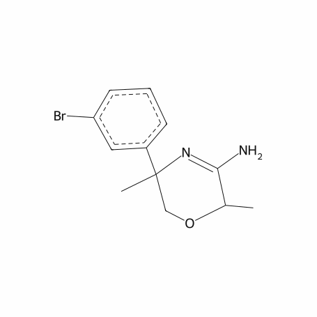 CC1OCC(C)(c2cccc(Br)c2)N=C1N